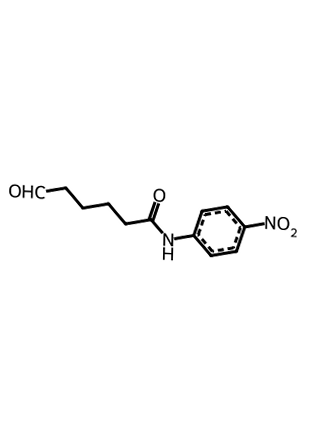 O=CCCCCC(=O)Nc1ccc([N+](=O)[O-])cc1